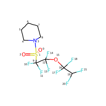 O=S(=O)(N1CCCCC1)C(F)(F)C(F)(F)OC(F)(F)C(F)F